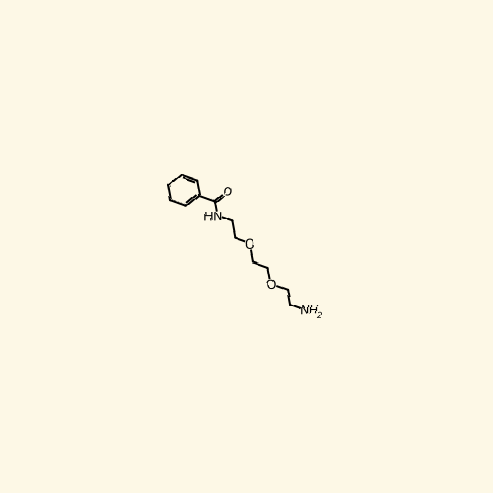 NCCOCCOCCNC(=O)C1=CCCC=C1